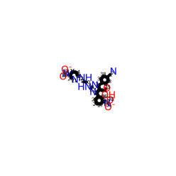 N#Cc1ccc(-c2nc(NCCNc3ccc([N+](=O)[O-])cn3)nc(-c3cccc([N+](=O)[O-])c3)c2C(=O)O)cc1